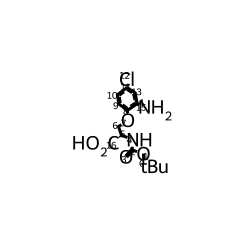 CC(C)(C)OC(=O)N[C@@H](COc1ccc(Cl)cc1N)C(=O)O